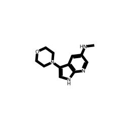 CNc1cnc2[nH]cc(N3CCOCC3)c2c1